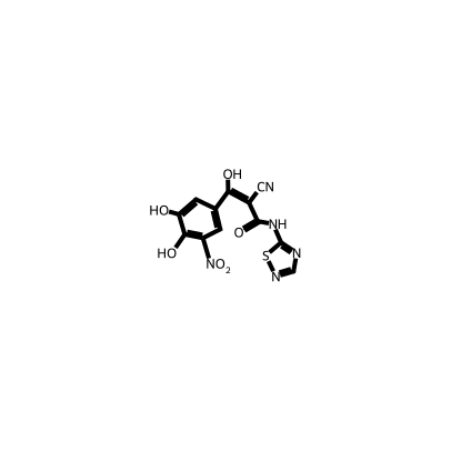 N#CC(C(=O)Nc1ncns1)=C(O)c1cc(O)c(O)c([N+](=O)[O-])c1